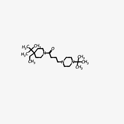 CCC1(C(C)(C)C)CCN(C(=O)CCCN2CCN(C(C)(C)C)CC2)CC1